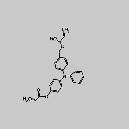 C=CC(=O)Oc1ccc(N(c2ccccc2)c2ccc(COC(O)C=C)cc2)cc1